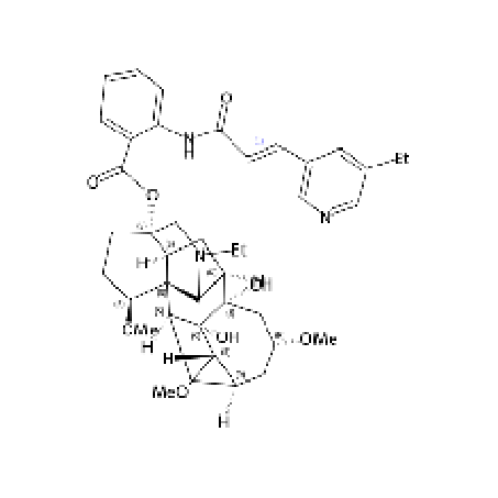 CCc1cncc(/C=C/C(=O)Nc2ccccc2C(=O)O[C@@]23CC[C@H](OC)[C@]45C([C@@H](C[C@H]24)[C@@]2(O)C[C@H](OC)C[C@H]4C[C@@H]5[C@]2(O)[C@H]4OC)N(CC)C3)c1